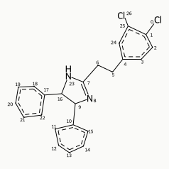 Clc1ccc(CCC2=NC(c3ccccc3)C(c3ccccc3)N2)cc1Cl